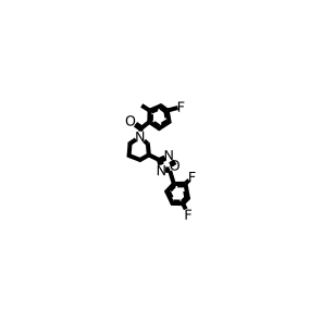 Cc1cc(F)ccc1C(=O)N1CCCC(c2noc(-c3ccc(F)cc3F)n2)C1